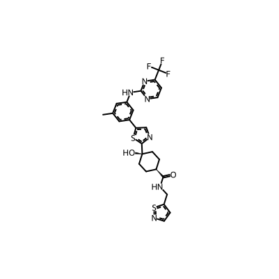 Cc1cc(Nc2nccc(C(F)(F)F)n2)cc(-c2cnc([C@]3(O)CC[C@@H](C(=O)NCc4ccns4)CC3)s2)c1